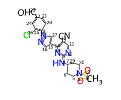 CS(=O)(=O)N1CCC(Nc2ncc(C#N)c(-c3cnn(-c4ccc(C=O)cc4Cl)c3)n2)CC1